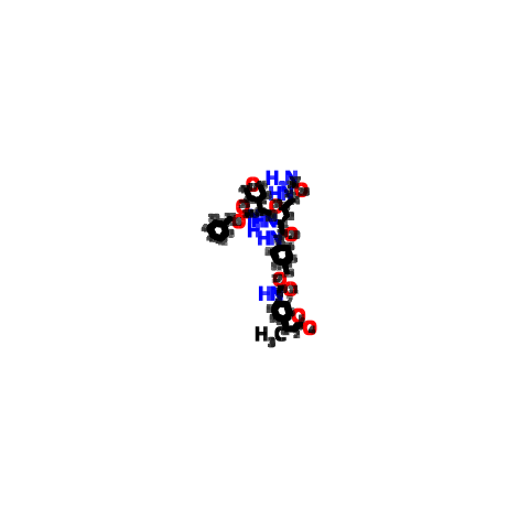 Cc1cc(=O)oc2cc(NC(=O)OCc3ccc(NC(=O)[C@H](CCCNC(N)=O)NC(=O)C(NC(=O)OCc4ccccc4)C4CCOCC4)cc3)ccc12